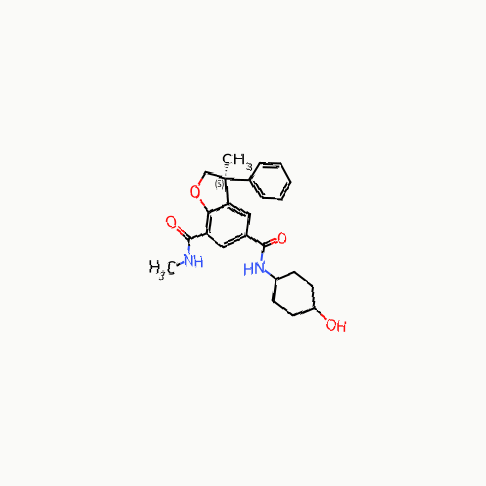 CNC(=O)c1cc(C(=O)NC2CCC(O)CC2)cc2c1OC[C@@]2(C)c1ccccc1